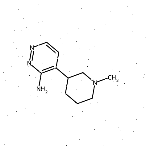 CN1CCCC(c2ccnnc2N)C1